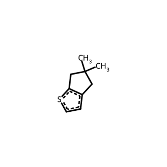 CC1(C)Cc2ccsc2C1